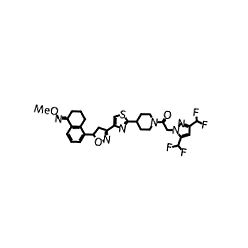 CON=C1CCCc2c1cccc2C1CC(c2csc(C3CCN(C(=O)Cn4nc(C(F)F)cc4C(F)F)CC3)n2)=NO1